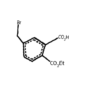 CCOC(=O)c1ccc(CBr)cc1C(=O)O